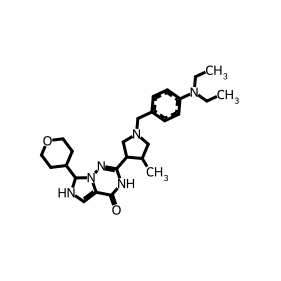 CCN(CC)c1ccc(CN2CC(C)C(C3=NN4C(=CNC4C4CCOCC4)C(=O)N3)C2)cc1